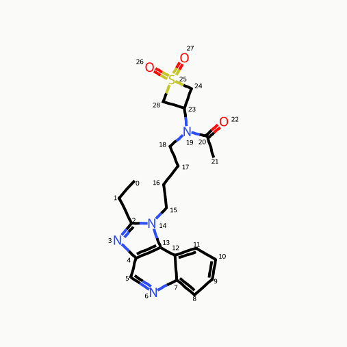 CCc1nc2cnc3ccccc3c2n1CCCCN(C(C)=O)C1CS(=O)(=O)C1